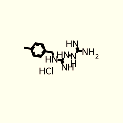 Cc1ccc(CNC(=N)NNC(=N)N)cc1.Cl